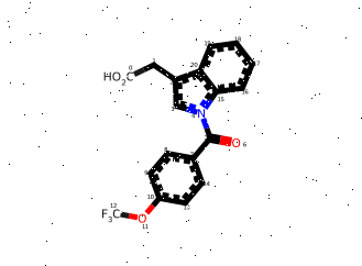 O=C(O)Cc1cn(C(=O)c2ccc(OC(F)(F)F)cc2)c2ccccc12